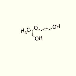 CC(CO)OCCCO